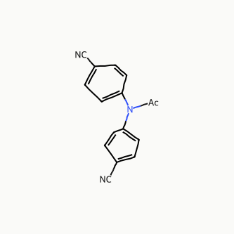 CC(=O)N(c1ccc(C#N)cc1)c1ccc(C#N)cc1